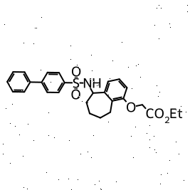 CCOC(=O)COc1cccc2c1CCCCC2NS(=O)(=O)c1ccc(-c2ccccc2)cc1